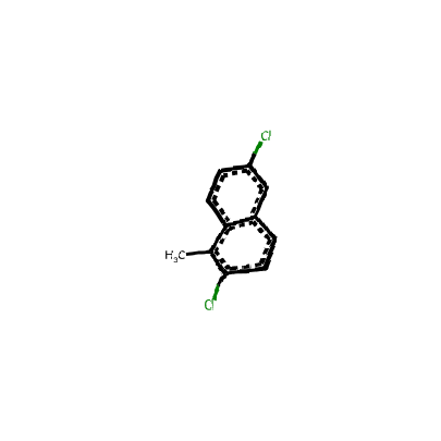 Cc1c(Cl)ccc2cc(Cl)ccc12